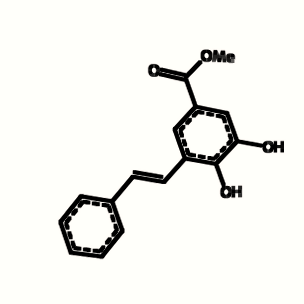 COC(=O)c1cc(O)c(O)c(C=Cc2ccccc2)c1